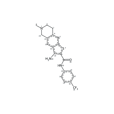 CN1CCc2nc3sc(C(=O)Nc4ccc(C(F)(F)F)cc4)c(N)c3cc2C1